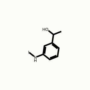 CC(O)c1cccc(NI)c1